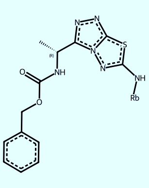 C[C@@H](NC(=O)OCc1ccccc1)c1nnc2sc([NH][Rb])nn12